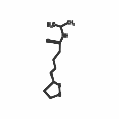 CC(C)NC(=O)CCCC[C@@H]1CCSS1